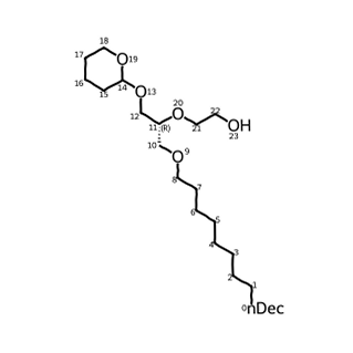 CCCCCCCCCCCCCCCCCCOC[C@H](COC1CCCCO1)OCCO